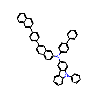 c1ccc(-c2ccc(N(c3ccc4ccc(-c5ccc(-c6ccc7ccccc7c6)cc5)cc4c3)c3ccc4c(c3)c3ccccc3n4-c3ccccc3)cc2)cc1